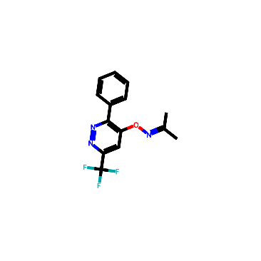 CC(C)=NOc1cc(C(F)(F)F)nnc1-c1ccccc1